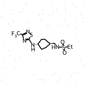 CCS(=O)(=O)NC[C@H]1CC[C@H](Nc2nc(C(F)(F)F)ns2)CC1